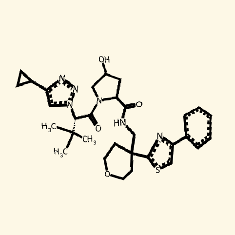 CC(C)(C)[C@@H](C(=O)N1CC(O)CC1C(=O)NCC1(c2nc(-c3ccccc3)cs2)CCOCC1)n1cc(C2CC2)nn1